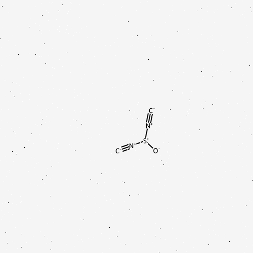 [C-]#[N+][S+]([O-])[N+]#[C-]